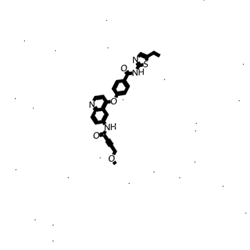 CCc1cnc(NC(=O)c2ccc(Oc3ccnc4ccc(NC(=O)C#CCOC)cc34)cc2)s1